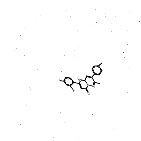 CC1=NN2C(=O)C=C(c3ccc(F)cc3F)NC2C=C1c1ccc(C)cc1